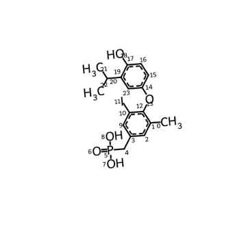 Cc1cc(CP(=O)(O)O)cc(I)c1Oc1ccc(O)c(C(C)C)c1